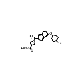 COC(=O)C1CN(C(C)c2ccc3cc(OC4CCC(C(C)(C)C)CC4)ccc3c2)C1